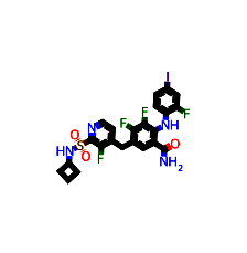 NC(=O)c1cc(Cc2ccnc(S(=O)(=O)NC3CCC3)c2F)c(F)c(F)c1Nc1ccc(I)cc1F